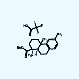 COC(=O)[C@@]1(C)CCC[C@]2(C)c3cc(N)ccc3CC[C@@H]12.O=C(O)C(F)(F)F